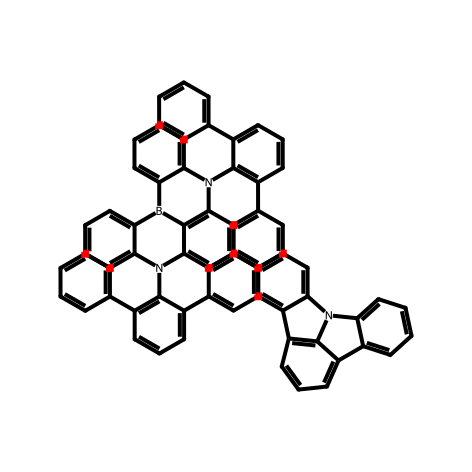 c1ccc(-c2cccc(-c3ccccc3)c2N2c3ccccc3B3c4ccccc4N(c4c(-c5ccccc5)cccc4-c4ccccc4)c4cc(-c5ccc6c(c5)c5cccc7c8ccccc8n6c75)cc2c43)cc1